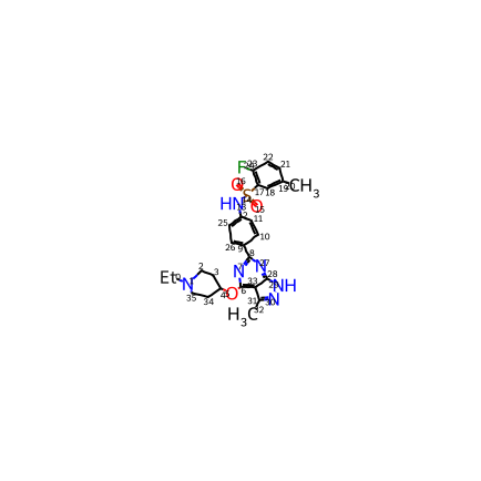 CCN1CCC(Oc2nc(-c3ccc(NS(=O)(=O)c4cc(C)ccc4F)cc3)nc3[nH]nc(C)c23)CC1